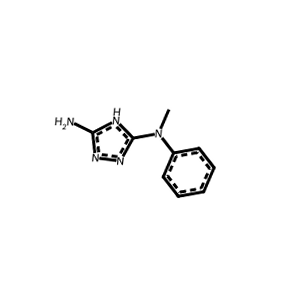 CN(c1ccccc1)c1nnc(N)[nH]1